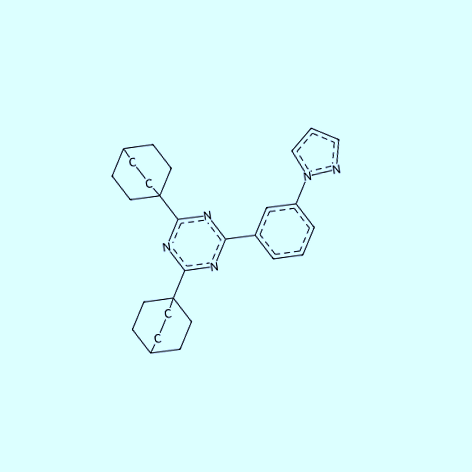 c1cc(-c2nc(C34CCC(CC3)CC4)nc(C34CCC(CC3)CC4)n2)cc(-n2cccn2)c1